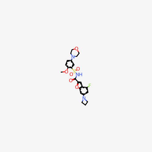 COc1ccc(N2CCOCC2)cc1S(=O)(=O)NC(=O)c1cc2c(F)cc(N3CCC3)cc2o1